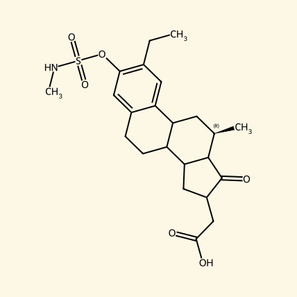 CCc1cc2c(cc1OS(=O)(=O)NC)CCC1C2C[C@@H](C)C2C(=O)C(CC(=O)O)CC12